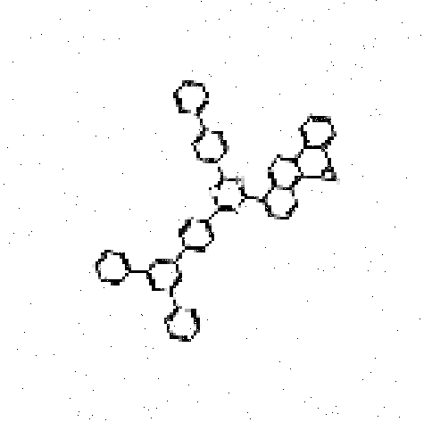 C1=C2c3ccccc3-c3ccc4c(-c5nc(-c6ccc(-c7ccccc7)cc6)nc(-c6ccc(-c7cc(-c8ccccc8)cc(-c8ccccc8)c7)cc6)n5)cccc4c3C12